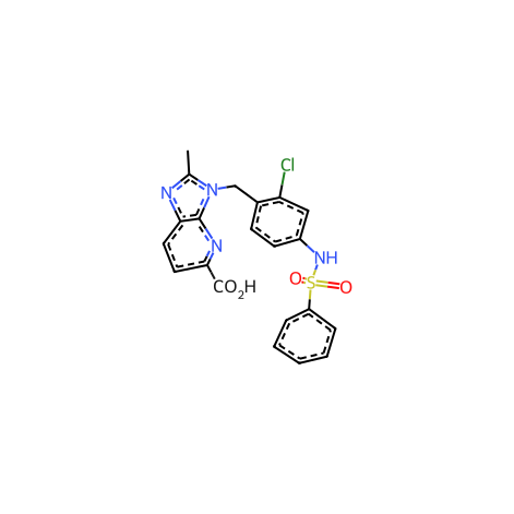 Cc1nc2ccc(C(=O)O)nc2n1Cc1ccc(NS(=O)(=O)c2ccccc2)cc1Cl